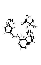 Cn1cnc(CNc2ccnc3cnn(C)c23)c1.O=C(O)C(F)(F)F